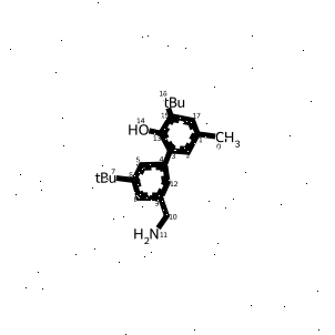 Cc1cc(-c2[c]c(C(C)(C)C)cc(CN)c2)c(O)c(C(C)(C)C)c1